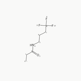 [CH2]CC(=O)NCCCC(F)(F)F